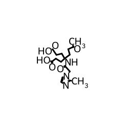 CC(=O)CCC(CCC(=O)O)(CCC(=O)O)NC(=O)Cn1ccnc1C